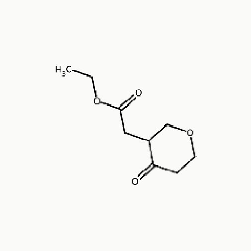 CCOC(=O)CC1COCCC1=O